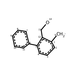 [CH2]c1cccc(-c2ccccc2)c1C[O]